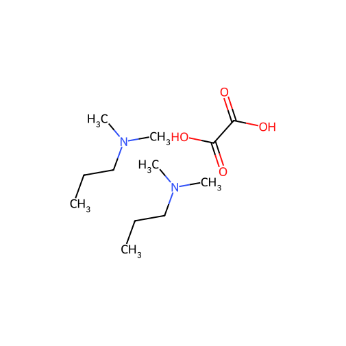 CCCN(C)C.CCCN(C)C.O=C(O)C(=O)O